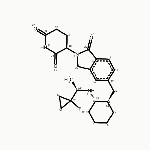 C[C@@H](N[C@H]1CCCC[C@@H]1Cc1ccc2c(c1)CN(C1CCC(=O)NC1=O)C2=O)C1(F)CC1